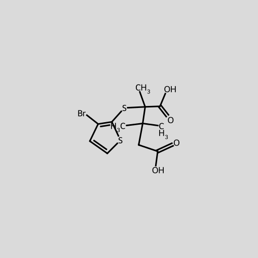 CC(C)(CC(=O)O)C(C)(Sc1sccc1Br)C(=O)O